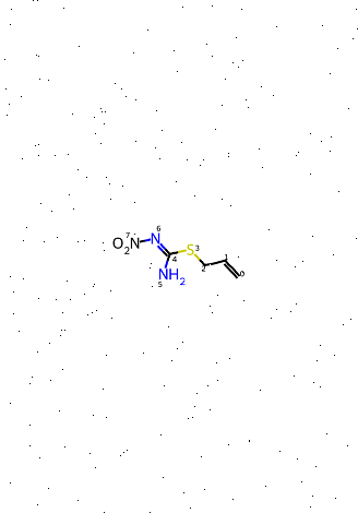 C=CCS/C(N)=N/[N+](=O)[O-]